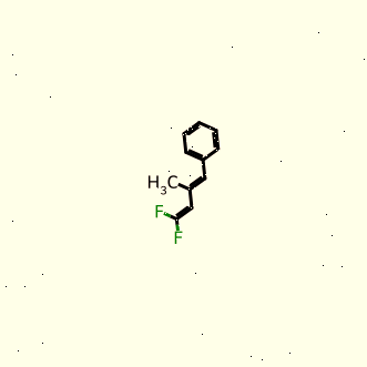 C/C(C=C(F)F)=C\c1ccccc1